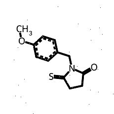 COc1ccc(CN2C(=O)CCC2=S)cc1